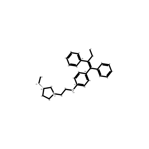 CC/C(=C(\c1ccccc1)c1ccc(OCCN2CC[C@H](CC)C2)cc1)c1ccccc1